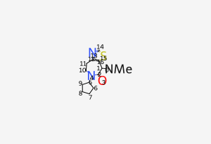 CNC1C(=O)N(C2CCCC2)CCc2ncsc21